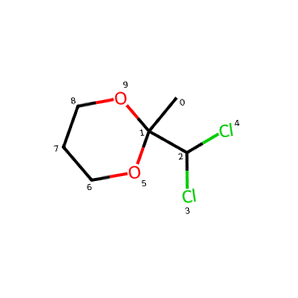 CC1(C(Cl)Cl)OCCCO1